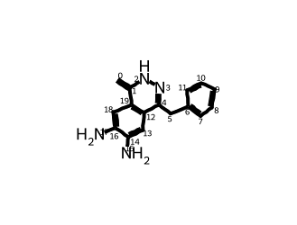 C=C1NN=C(Cc2ccccc2)c2cc(N)c(N)cc21